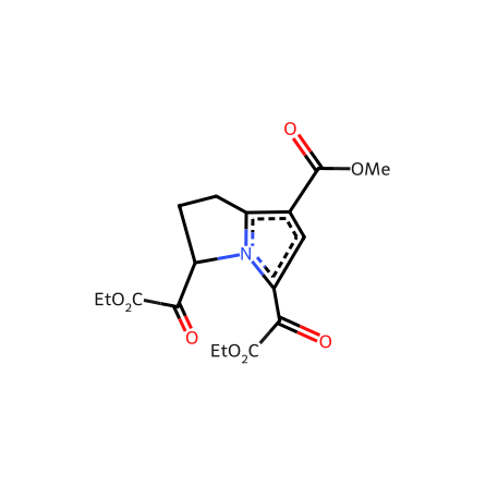 CCOC(=O)C(=O)c1cc(C(=O)OC)c2n1C(C(=O)C(=O)OCC)CC2